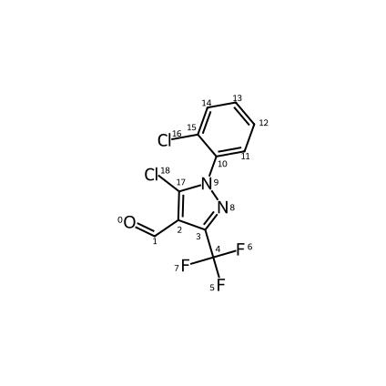 O=Cc1c(C(F)(F)F)nn(-c2ccccc2Cl)c1Cl